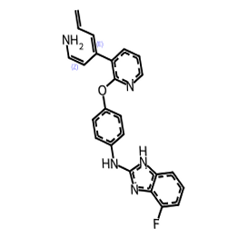 C=C/C=C(\C=C/N)c1cccnc1Oc1ccc(Nc2nc3c(F)cccc3[nH]2)cc1